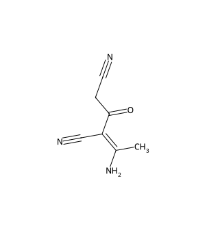 CC(N)=C(C#N)C(=O)CC#N